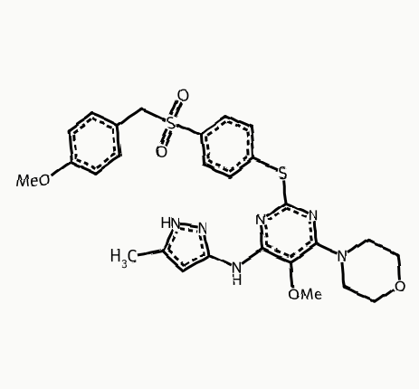 COc1ccc(CS(=O)(=O)c2ccc(Sc3nc(Nc4cc(C)[nH]n4)c(OC)c(N4CCOCC4)n3)cc2)cc1